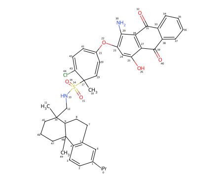 CC(C)c1ccc2c(c1)CCC1C(C)(CNS(=O)(=O)C3(C)C=CC(Oc4cc(O)c5c(c4N)C(=O)c4ccccc4C5=O)=CC=C3Cl)CCCC21C